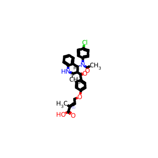 CC(=O)N(c1ccc(Cl)cc1)[C@H]1c2ccccc2N[C@@H](C)C1C(=O)c1ccc(OC/C=C(\C)C(=O)O)cc1